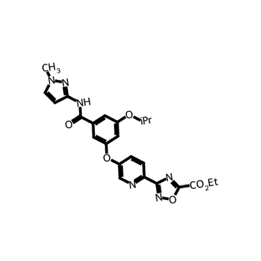 CCOC(=O)c1nc(-c2ccc(Oc3cc(OC(C)C)cc(C(=O)Nc4ccn(C)n4)c3)cn2)no1